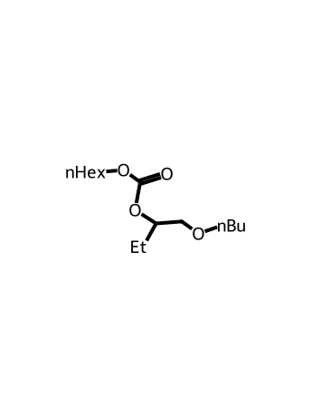 CCCCCCOC(=O)OC(CC)COCCCC